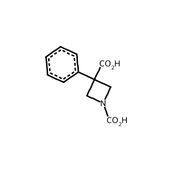 O=C(O)N1CC(C(=O)O)(c2ccccc2)C1